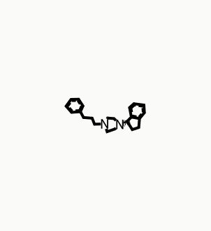 c1ccc(CCCN2CCN([C@@H]3CCc4ccccc43)CC2)cc1